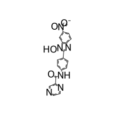 O=C(Nc1ccc(-c2nc3ccc([N+](=O)[O-])cc3n2O)cc1)c1cnccn1